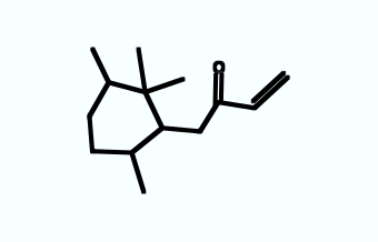 C=CC(=O)CC1C(C)CCC(C)C1(C)C